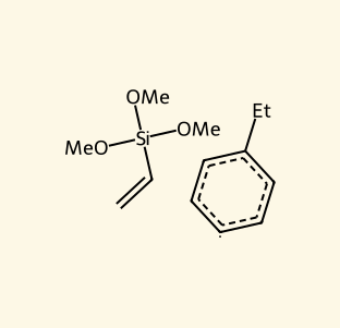 C=C[Si](OC)(OC)OC.CCc1cc[c]cc1